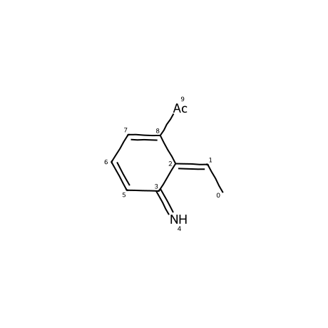 C/C=C1\C(=N)C=CC=C1C(C)=O